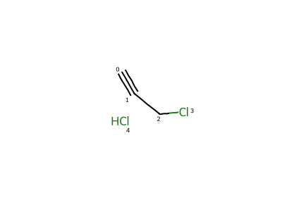 C#CCCl.Cl